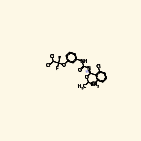 CC(C)O/C(=N\C(=O)Nc1cccc(OC(F)(F)C(Cl)Cl)c1)c1c(Cl)cccc1Cl